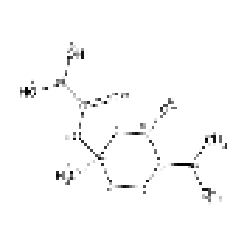 CC(C)[C@H]1CC[C@@](C)(OC(=O)C(O)O)C[C@@H]1O